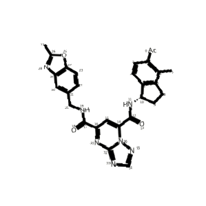 CC(=O)c1ccc2c(c1C)CC[C@@H]2NC(=O)c1cc(C(=O)NCc2ccc3oc(C)nc3c2)nc2ncnn12